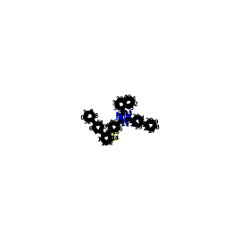 C1=CCCC(c2ccc(-c3cccc4sc5cc(-c6nc(-c7ccc(-c8ccccc8)cc7)nc(C7C=CC=C8C=CC=CC87)n6)ccc5c34)cc2)=C1